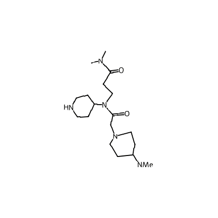 CNC1CCN(CC(=O)N(CCC(=O)N(C)C)C2CCNCC2)CC1